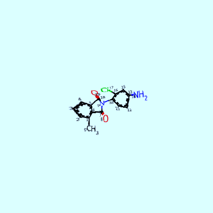 Cc1cccc2c1C(=O)N(c1ccc(N)cc1Cl)C2=O